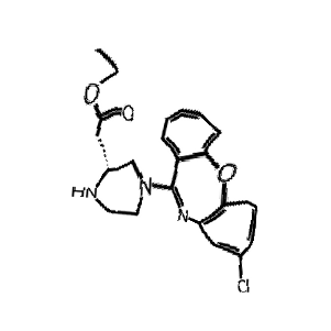 CCOC(=O)C[C@@H]1CN(C2=Nc3cc(Cl)ccc3Oc3ccccc32)CCN1